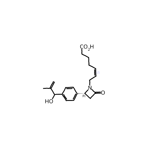 C=C(C)C(O)c1ccc([C@H]2CC(=O)N2C/C=C\CCCC(=O)O)cc1